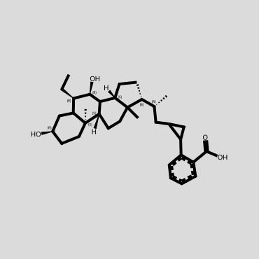 CC[C@@H]1C2C[C@H](O)CC[C@]2(C)[C@H]2CCC3(C)[C@@H]([C@H](C)CC4CC4c4ccccc4C(=O)O)CC[C@H]3C2[C@@H]1O